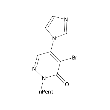 CCCCCn1ncc(-n2ccnc2)c(Br)c1=O